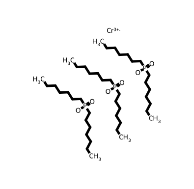 CCCCCCCP(=O)([O-])CCCCCCC.CCCCCCCP(=O)([O-])CCCCCCC.CCCCCCCP(=O)([O-])CCCCCCC.[Cr+3]